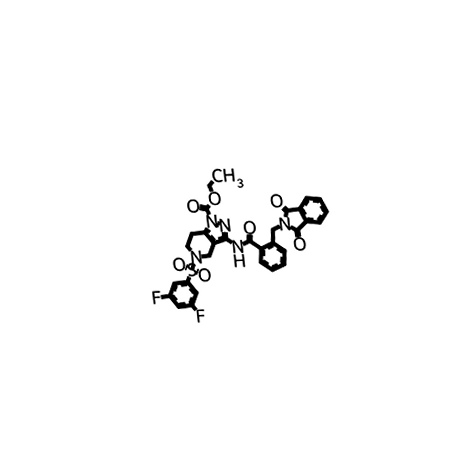 CCOC(=O)n1nc(NC(=O)c2ccccc2CN2C(=O)c3ccccc3C2=O)c2c1CCN(S(=O)(=O)c1cc(F)cc(F)c1)C2